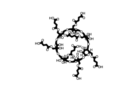 CC(=O)CCC(=O)OCC1OC2OC3C(O)[C@H](O)C(OC4C(COC(=O)CCC(=O)O)OC(OC5C(O)C(O)C(OC6C(COC(=O)CCC(=O)O)OC(OC7C(COC(=O)CCC(=O)O)OC(OC8C(COC(=O)CCC(=O)O)OC(OC1C(O)[C@@H]2O)C(O)C8O)C(O)C7O)C(O)C6O)O[C@@H]5COC(=O)CCC(=O)O)C(O)C4O)O[C@@H]3COC(=O)CCC(=O)O